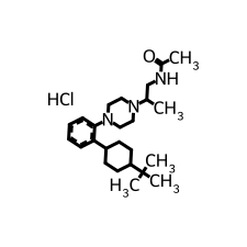 CC(=O)NCC(C)N1CCN(c2ccccc2C2CCC(C(C)(C)C)CC2)CC1.Cl